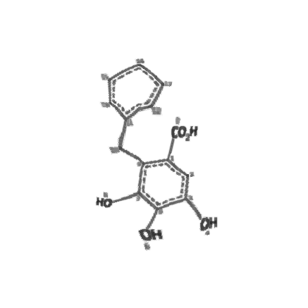 O=C(O)c1cc(O)c(O)c(O)c1Cc1ccccc1